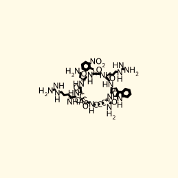 CC(=O)N[C@@H](CCCNC(=N)N)C(=O)N[C@H]1CCC(=O)NCCC[C@@H](C(N)=O)NC(=O)[C@H](Cc2c[nH]c3ccccc23)NC(=O)[C@H](CCCNC(=N)N)NC(=O)[C@@H](Cc2ccccc2[N+](=O)[O-])NC(=O)[C@H](CCN)NC1=O